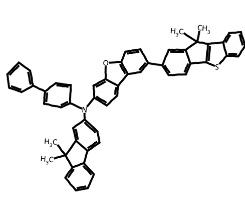 CC1(C)c2ccccc2-c2ccc(N(c3ccc(-c4ccccc4)cc3)c3ccc4c(c3)oc3ccc(-c5ccc6c(c5)C(C)(C)c5c-6sc6ccccc56)cc34)cc21